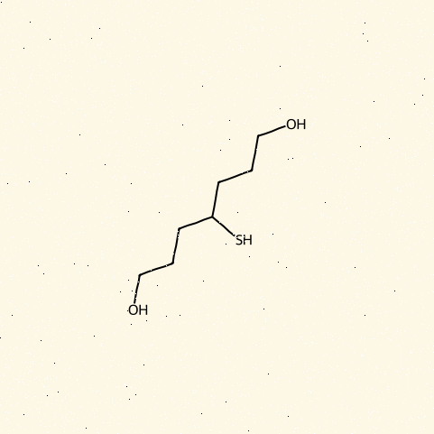 OCCCC(S)CCCO